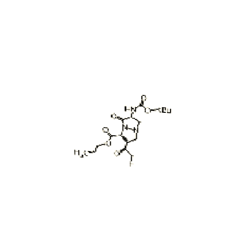 C=CCOC(=O)C1=C(C(=O)CF)CN2CC(NC(=O)OC(C)(C)C)C(=O)N12